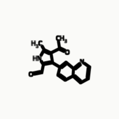 CC(=O)c1c(C)[nH]c(C=O)c1-c1ccc2cccnc2c1